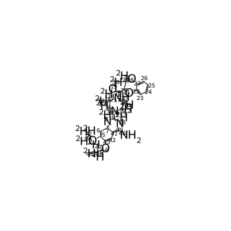 [2H]C([2H])([2H])Oc1cc2nc(N3C([2H])([2H])C([2H])([2H])N(C(=O)C4Oc5ccccc5OC4([2H])[2H])C([2H])([2H])C3([2H])[2H])nc(N)c2cc1OC([2H])([2H])[2H]